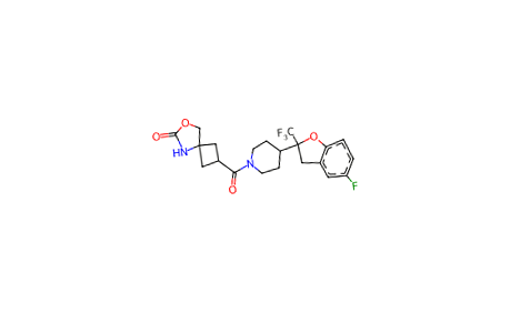 O=C1NC2(CO1)CC(C(=O)N1CCC(C3(C(F)(F)F)Cc4cc(F)ccc4O3)CC1)C2